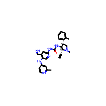 C#C[C@@H]1[C@@H](NC(=O)Nc2cc(C=N)c(Nc3ccnc(C)c3)cn2)[C@H](c2ccccc2C)CN1C